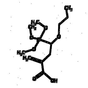 C=C(CC(OCCC)[Si](OC)(OC)OC)C(=O)O